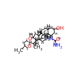 C[C@H]1CC[C@@]2(OC1)O[C@H]1C[C@H]3[C@@H]4CC[C@@H]5C[C@@H](O)CC(NC(N)=O)[C@]5(C)[C@H]4CC[C@]3(C)[C@H]1[C@@H]2C